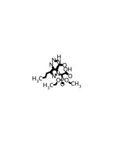 CCCc1nn(C(C(=O)O)P(=O)(OCC)OCC)c2c(=O)[nH]nnc12